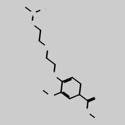 COC(=O)C1C=C(OC)C(OCCOCCNB(C)O)=CC1